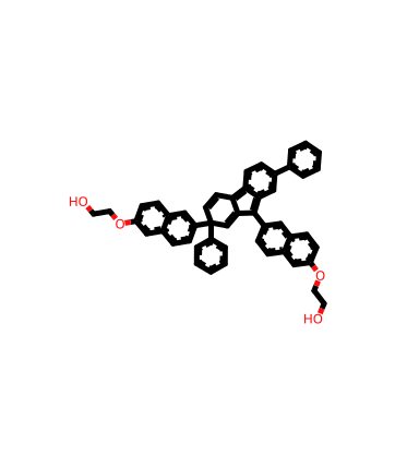 OCCOc1ccc2cc(C3=c4cc(-c5ccccc5)ccc4=C4C=CC(c5ccccc5)(c5ccc6cc(OCCO)ccc6c5)C=C43)ccc2c1